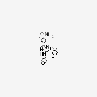 Cc1ccc(F)cc1Oc1cc(NCC2CCOCC2)c2ncc(-c3ccc(C(N)=O)c(C)c3)n2n1